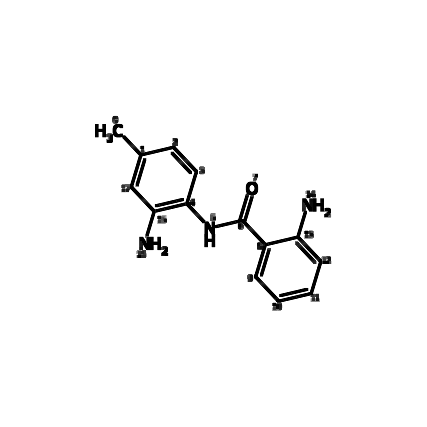 Cc1ccc(NC(=O)c2ccccc2N)c(N)c1